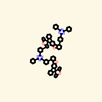 c1ccc(-c2nc(-c3ccccc3)nc(-c3ccc(-c4cccc5oc6cc7c(cc6c45)-c4ccccc4C74c5ccccc5Oc5c(-c6cccc(-c7nc(-c8ccccc8)nc(-c8cccc(-c9cccc%10oc%11cc%12c(cc%11c9%10)-c9ccccc9C%129c%10ccccc%10Oc%10ccccc%109)c8)n7)c6)cccc54)cc3)n2)cc1